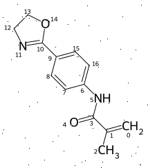 C=C(C)C(=O)Nc1ccc(C2=NCCO2)cc1